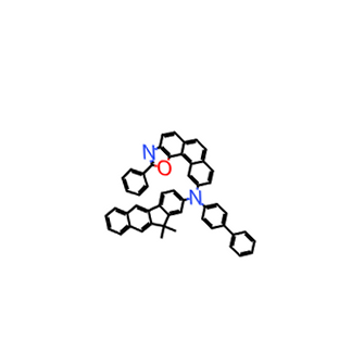 CC1(C)c2cc(N(c3ccc(-c4ccccc4)cc3)c3ccc4ccc5ccc6nc(-c7ccccc7)oc6c5c4c3)ccc2-c2cc3ccccc3cc21